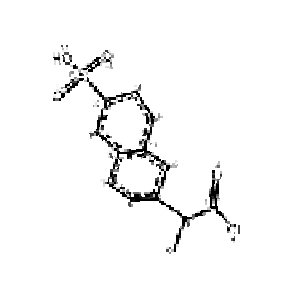 CC(C(=O)O)c1ccc2cc(S(=O)(=O)O)ccc2c1